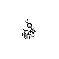 COc1ccc(C2SCC(=O)N2[C@@H](CC(C)C)C(=O)NO)cc1